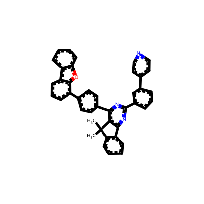 CC1(C)c2ccccc2-c2nc(-c3cccc(-c4ccncc4)c3)nc(-c3ccc(-c4cccc5c4oc4ccccc45)cc3)c21